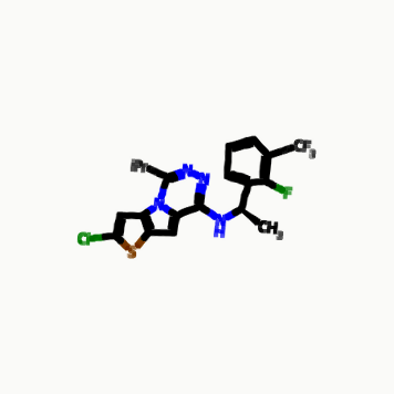 CC(C)c1nnc(N[C@H](C)c2cccc(C(F)(F)F)c2F)c2cc3sc(Cl)cc3n12